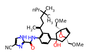 C=C(CCC(C)(C)CCC)c1cc([C@]2(O)C[C@@]3(COC)C=C[C@@](COC)(C2)O3)ccc1NC(=O)c1nc(C#N)c[nH]1